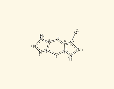 [O-][n+]1n[nH]c2cc3nn[nH]c3cc21